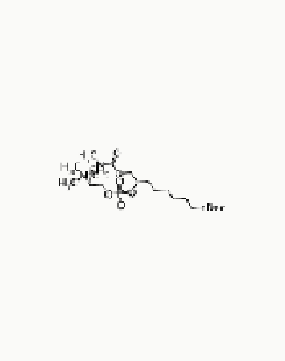 CCCCCCCCCCCCCCCCC(COC(=O)N(C)C)OP(=O)([O-])OCC[N+](C)(C)C